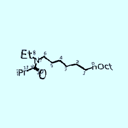 CCCCCCCCCCCCCCN(CC)C(=O)C(C)C